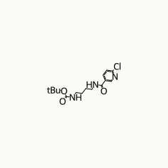 CC(C)(C)OC(=O)NCCCCNC(=O)c1ccc(Cl)nc1